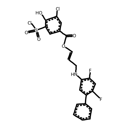 O=C(O/C=C/CNc1cc(-c2ccccc2)c(F)cc1F)c1cc(Cl)c(O)c(S(=O)(=O)Cl)c1